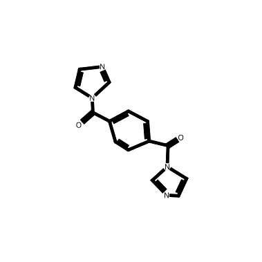 O=C(c1ccc(C(=O)n2ccnc2)cc1)n1ccnc1